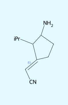 CC(C)C1/C(=C/C#N)CCC1N